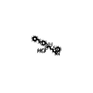 Cl.Cl.O=C(C=CC1=Cc2cnc3cccc(n23)S1)NC1CCN(CCc2ccccc2)CC1